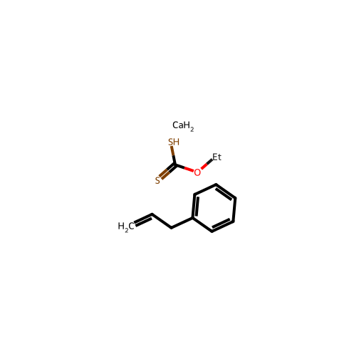 C=CCc1ccccc1.CCOC(=S)S.[CaH2]